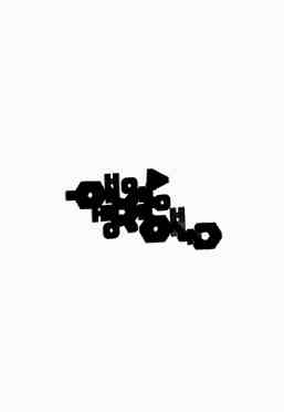 Cc1ccc(Nc2[nH]c(=O)c(C)c3c2c(=O)n(C2CC2)c(=O)n3-c2cccc(NCN3CCCCC3)c2)cc1